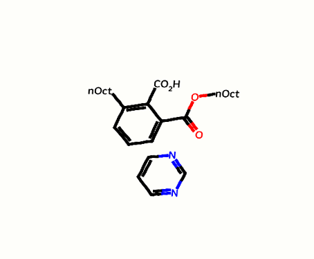 CCCCCCCCOC(=O)c1cccc(CCCCCCCC)c1C(=O)O.c1cncnc1